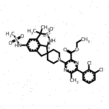 CCOC(=O)c1nc(-c2cccc(Cl)c2Cl)c(C)nc1N1CCC2(CC1)Cc1cc(NS(C)(=O)=O)cc3c1[C@H]2N[S@+]([O-])C3(C)C